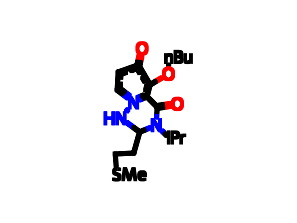 CCCCOc1c2n(ccc1=O)NC(CCSC)N(C(C)C)C2=O